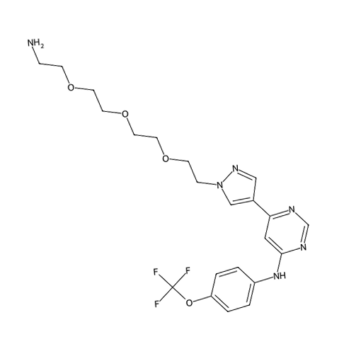 NCCOCCOCCOCCn1cc(-c2cc(Nc3ccc(OC(F)(F)F)cc3)ncn2)cn1